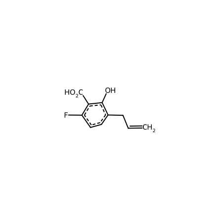 C=CCc1ccc(F)c(C(=O)O)c1O